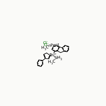 CCCCCC.C[SiH2][Zr+2]([C]1=CC(c2ccccc2)=CC1)[c]1cccc2c1Cc1ccccc1-2.[Cl-].[Cl-]